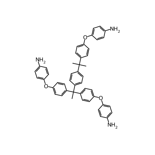 CC(C)(c1ccc(Oc2ccc(N)cc2)cc1)c1ccc(C(C)(c2ccc(Oc3ccc(N)cc3)cc2)c2ccc(Oc3ccc(N)cc3)cc2)cc1